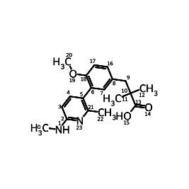 CNc1ccc(-c2cc(CC(C)(C)C(=O)O)ccc2OC)c(C)n1